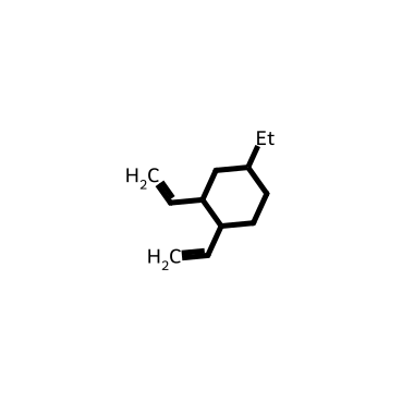 [CH2]CC1CCC(C=C)C(C=C)C1